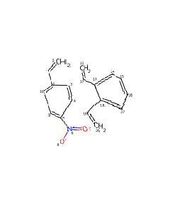 C=Cc1ccc([N+](=O)[O-])cc1.C=Cc1ccccc1C=C